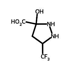 O=C(O)C1(O)CC(C(F)(F)F)NN1